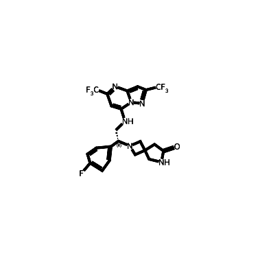 O=C1CC2(CN1)CN([C@@H](CNc1cc(C(F)(F)F)nc3cc(C(F)(F)F)nn13)c1ccc(F)cc1)C2